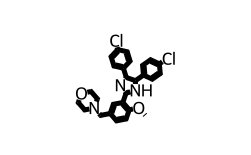 COc1ccc(CN2CCOCC2)cc1C1=NC(c2ccc(Cl)cc2)C(c2ccc(Cl)cc2)N1